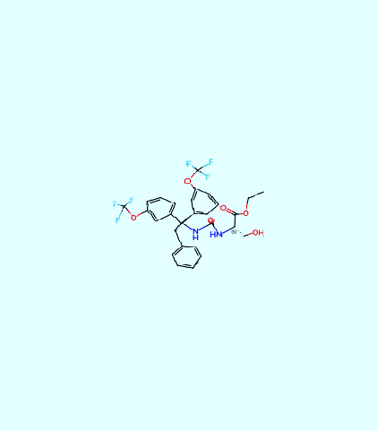 CCOC(=O)[C@H](CO)NC(=O)NC(Cc1ccccc1)(c1cccc(OC(F)(F)F)c1)c1cccc(OC(F)(F)F)c1